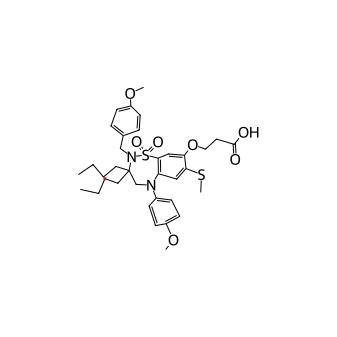 CCCCC1(CCCC)CN(c2ccc(OC)cc2)c2cc(SC)c(OCCC(=O)O)cc2S(=O)(=O)N1Cc1ccc(OC)cc1